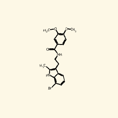 COc1ccc(C(=O)NCCc2c(C)[nH]c3c(Br)cccc23)cc1OC